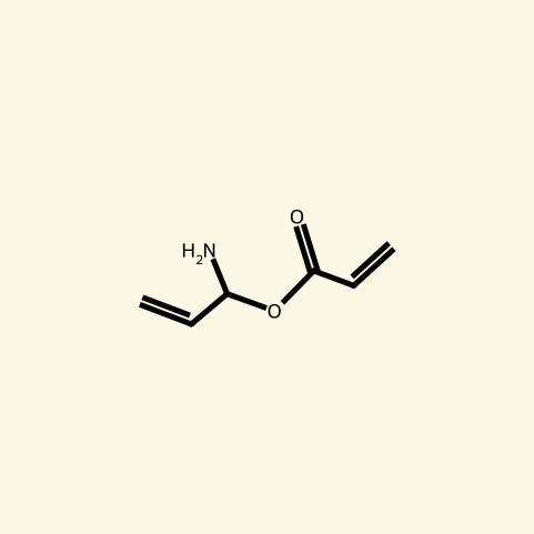 C=CC(=O)OC(N)C=C